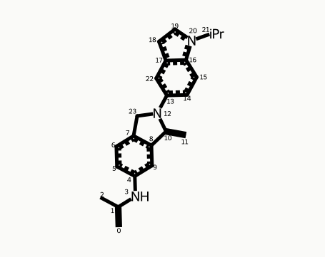 C=C(C)Nc1ccc2c(c1)C(=C)N(c1ccc3c(ccn3C(C)C)c1)C2